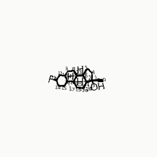 C#CC1(O)CC[C@H]2[C@@H]3CCC4CC(F)CC[C@]4(C)[C@@H]3CC[C@@]21C